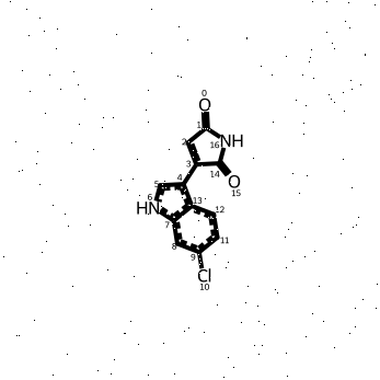 O=C1C=C(c2c[nH]c3cc(Cl)ccc23)C(=O)N1